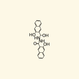 O=C(NNC(O)c1cc2ccccc2cc1O)c1cc2ccccc2cc1O